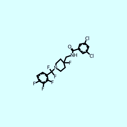 O=C(NCC1(F)CCN(C(F)(F)c2ccc(F)c(F)c2F)CC1)c1cc(Cl)cc(Cl)c1